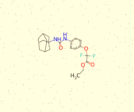 CCOC(=O)C(F)(F)Oc1ccc(NC(=O)NC23CC4CC(CC(C4)C2)C3)cc1